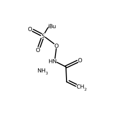 C=CC(=O)NOS(=O)(=O)C(C)CC.N